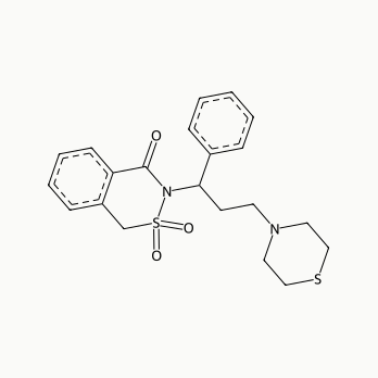 O=C1c2ccccc2CS(=O)(=O)N1C(CCN1CCSCC1)c1ccccc1